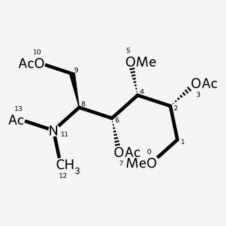 COC[C@@H](OC(C)=O)[C@@H](OC)[C@H](OC(C)=O)[C@H](COC(C)=O)N(C)C(C)=O